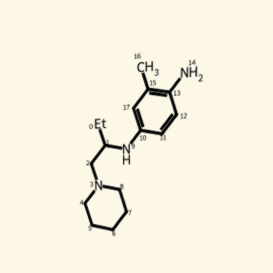 CCC(CN1CCCCC1)Nc1ccc(N)c(C)c1